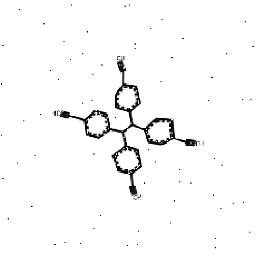 C#Cc1ccc(C(c2ccc(C#C)cc2)C(c2ccc(C#C)cc2)c2ccc(C#C)cc2)cc1